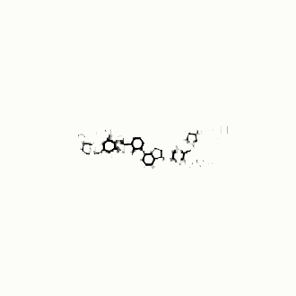 COc1nc(O[C@@H]2CCc3c(-c4cccc(-c5nc6cc(CN7CC[C@@H](O)C7)cc(C#N)c6o5)c4Cl)cccc32)cnc1CN1CC[C@@H](C(=O)O)C1